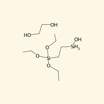 CCO[Si](CC[SiH2]O)(OCC)OCC.OCCO